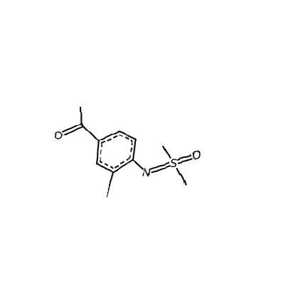 CC(=O)c1ccc(N=S(C)(C)=O)c(C)c1